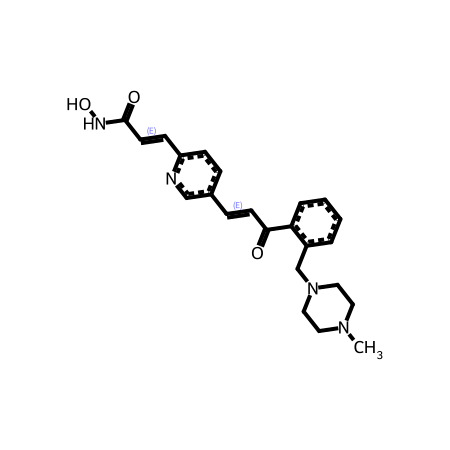 CN1CCN(Cc2ccccc2C(=O)/C=C/c2ccc(/C=C/C(=O)NO)nc2)CC1